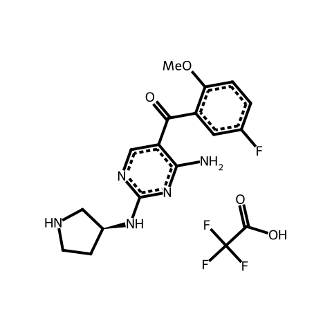 COc1ccc(F)cc1C(=O)c1cnc(N[C@H]2CCNC2)nc1N.O=C(O)C(F)(F)F